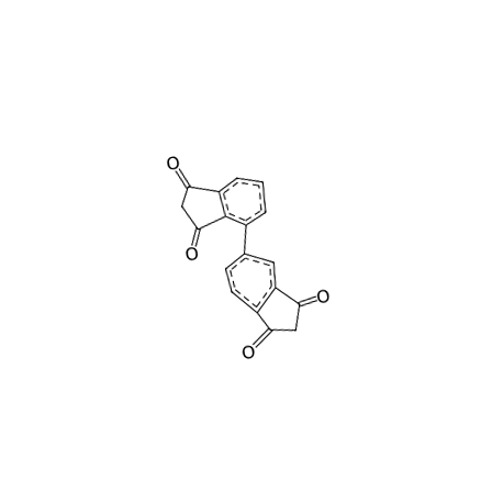 O=C1CC(=O)c2cc(-c3cccc4c3C(=O)CC4=O)ccc21